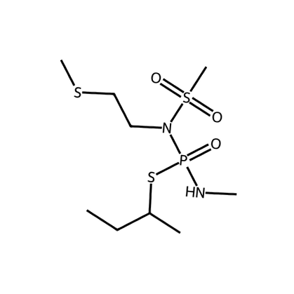 CCC(C)SP(=O)(NC)N(CCSC)S(C)(=O)=O